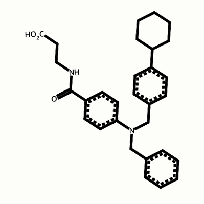 O=C(O)CCNC(=O)c1ccc(N(Cc2ccccc2)Cc2ccc(C3CCCCC3)cc2)cc1